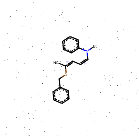 CCN(/C=C\C=C(\C#N)SCc1ccccc1)c1ccccc1